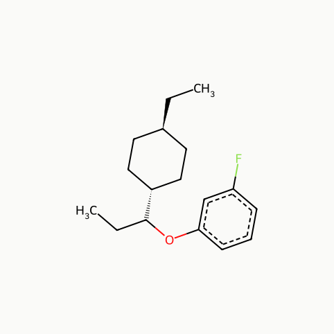 CCC(Oc1cccc(F)c1)[C@H]1CC[C@H](CC)CC1